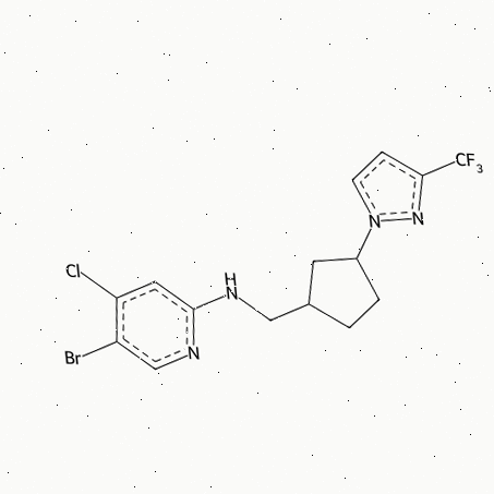 FC(F)(F)c1ccn(C2CCC(CNc3cc(Cl)c(Br)cn3)C2)n1